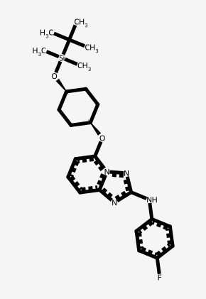 CC(C)(C)[Si](C)(C)O[C@H]1CC[C@@H](Oc2cccc3nc(Nc4ccc(F)cc4)nn23)CC1